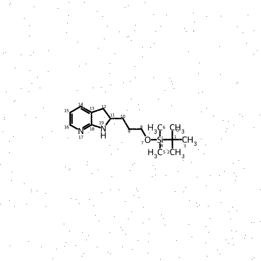 CC(C)(C)[Si](C)(C)OCCCC1Cc2cccnc2N1